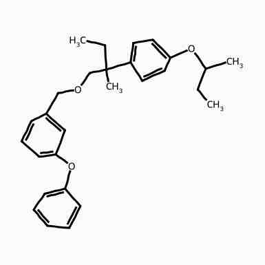 CCC(C)Oc1ccc(C(C)(CC)COCc2cccc(Oc3ccccc3)c2)cc1